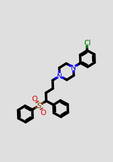 O=S(=O)(c1ccccc1)C(CCCN1CCN(c2cccc(Cl)c2)CC1)c1ccccc1